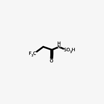 O=C(CC(F)(F)F)NS(=O)(=O)O